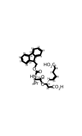 CC(C)[C@H](NC(=O)OCC1c2ccccc2-c2ccccc21)C(=O)O[C@H](C/C=C\CCC(=O)O)CC(=O)O